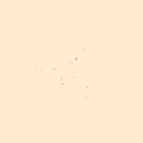 Cc1cc(Cl)cc(C)c1C(=O)c1sc2cc(O)ccc2c1Oc1c(Cl)cc(/C=C/OC=O)cc1Cl